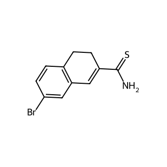 NC(=S)C1=Cc2cc(Br)ccc2CC1